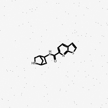 O=C(NC1CC2CC1CN2)c1ccc2ccsc2n1